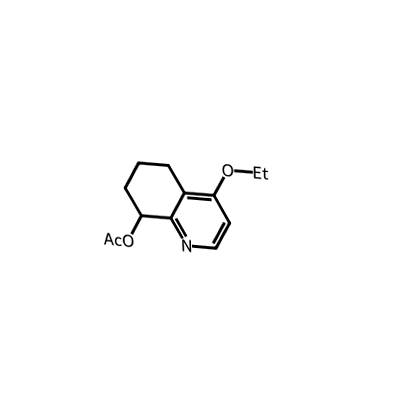 CCOc1ccnc2c1CCCC2OC(C)=O